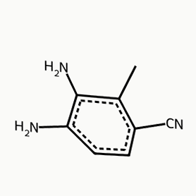 Cc1c(C#N)ccc(N)c1N